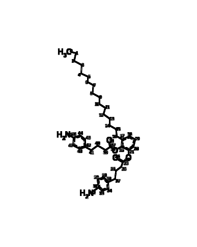 CCCCCCCCCCCCCCCCCc1cccc(OC(=O)CCCc2ccc(N)cc2)c1OC(=O)CCCc1ccc(N)cc1